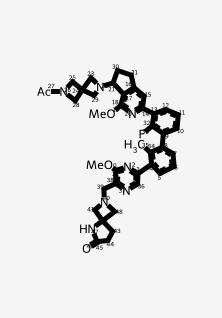 COc1nc(-c2cccc(-c3cccc(-c4cc5c(c(OC)n4)C(N4CC6(CN(C(C)=O)C6)C4)CC5)c3F)c2C)cnc1CN1CC2(CCC(=O)N2)C1